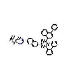 C/C=C\C(=C/N)c1ccc2cc(-c3nc(-c4ccccc4-c4ccccc4)nc(-c4ccc(-c5ccccc5)c5ccccc45)n3)ccc2c1